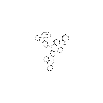 CC1(C)c2ccccc2-c2cccc(-c3cccc(N(c4ccc5c(c4)C(C)(c4ccccc4)c4ccccc4-5)c4ccc5c(c4)C4(c6ccccc6-5)C5CC6CC(C5)CC4C6)c3)c21